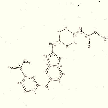 CNC(=O)c1cc(Oc2ccc3nc(N[C@H]4CC[C@@H](NC(=O)OC(C)(C)C)CC4)sc3c2)ccn1